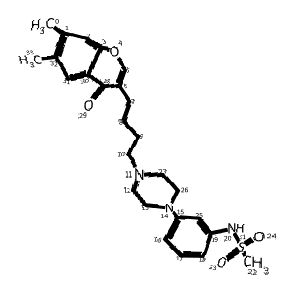 Cc1cc2occ(CCCCN3CCN(c4cccc(NS(C)(=O)=O)c4)CC3)c(=O)c2cc1C